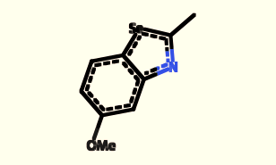 COc1ccc2[se]c(C)nc2c1